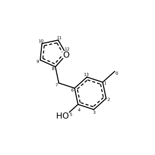 Cc1ccc(O)c(Cc2ccco2)c1